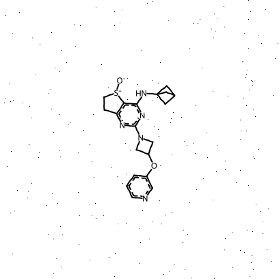 [O-][S+]1CCc2nc(N3CC(Oc4cccnc4)C3)nc(NC34CC(C3)C4)c21